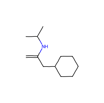 C=C(CC1CCCCC1)NC(C)C